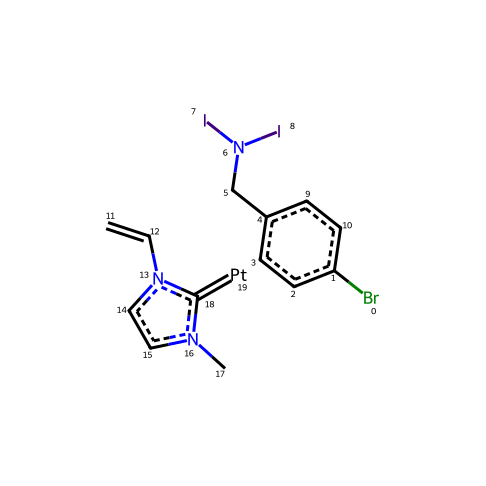 Brc1ccc(CN(I)I)cc1.C=Cn1ccn(C)[c]1=[Pt]